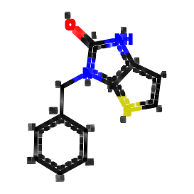 O=c1[nH]c2ccsc2n1Cc1ccccc1